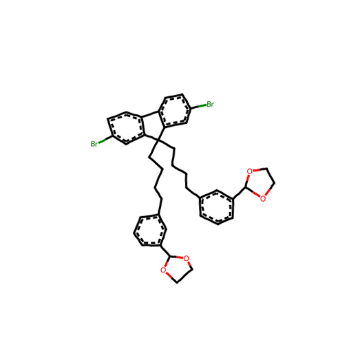 Brc1ccc2c(c1)C(CCCCc1cccc(C3OCCO3)c1)(CCCCc1cccc(C3OCCO3)c1)c1cc(Br)ccc1-2